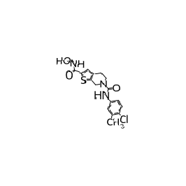 Cc1cc(NC(=O)N2CCc3cc(C(=O)NO)sc3C2)ccc1Cl